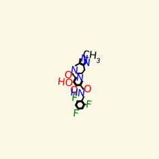 Cn1cc2c(n1)CC1CN(C2)C(=O)c2c(O)c(=O)c(C(=O)NCc3c(F)cc(F)cc3F)cn21